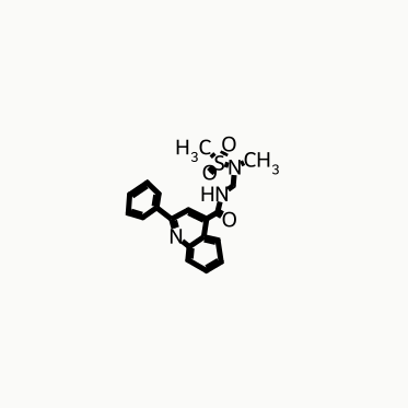 CN(CNC(=O)c1cc(-c2ccccc2)nc2ccccc12)S(C)(=O)=O